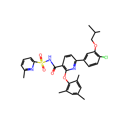 Cc1cc(C)c(Oc2nc(-c3ccc(Cl)c(OCC(C)C)c3)ccc2C(=O)NS(=O)(=O)c2cccc(C)n2)c(C)c1